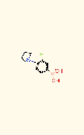 OB(O)c1ccc(N2CCCC2)c(F)c1